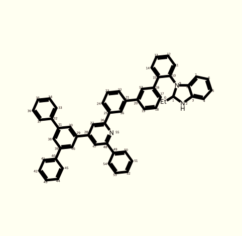 CCC1Nc2ccccc2N1c1ccccc1-c1cccc(-c2cccc(-c3cc(-c4cc(-c5ccccc5)cc(-c5ccccc5)c4)cc(-c4ccccc4)n3)c2)c1